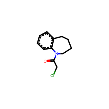 O=C(CCl)N1CCCCc2ccccc21